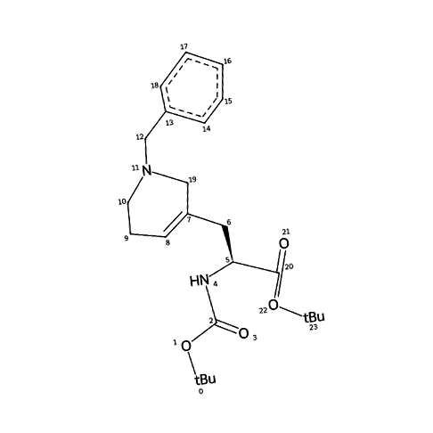 CC(C)(C)OC(=O)N[C@@H](CC1=CCCN(Cc2ccccc2)C1)C(=O)OC(C)(C)C